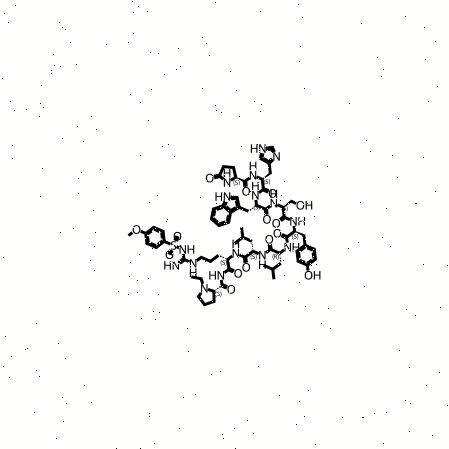 CCN1CCC[C@H]1C(=O)NC(=O)[C@H](CCCNC(=N)NS(=O)(=O)c1ccc(OC)cc1)NC(=O)[C@H](CC(C)C)NC(=O)[C@@H](CC(C)C)NC(=O)[C@H](Cc1ccc(O)cc1)NC(=O)[C@H](CO)NC(=O)[C@H](Cc1c[nH]c2ccccc12)NC(=O)[C@H](Cc1c[nH]cn1)NC(=O)[C@@H]1CCC(=O)N1